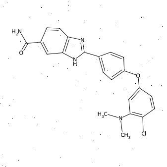 CN(C)c1cc(Oc2ccc(-c3nc4ccc(C(N)=O)cc4[nH]3)cc2)ccc1Cl